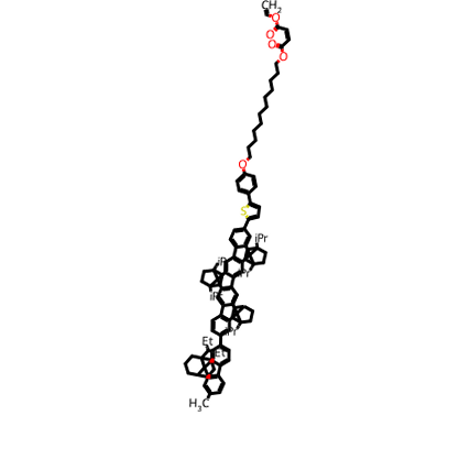 C=COC(=O)/C=C\C(=O)OCCCCCCCCCCCCOc1ccc(-c2ccc(-c3ccc4c(c3)C3(c5cc6c(cc5-4)C4(c5cc7c(cc5-6)C5(c6cc(-c8ccc9c(c8)C8(c%10cc(C)ccc%10-9)C9CCCC8(C(CC)CC)CCC9)ccc6-7)C6CCC5(C(C)C)CC6)C5(C(C)C)CCC4(C(C)C)CC5)C4(C(C)C)CCC3(C(C)C)CC4)s2)cc1